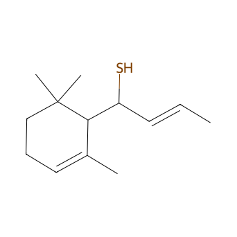 CC=CC(S)C1C(C)=CCCC1(C)C